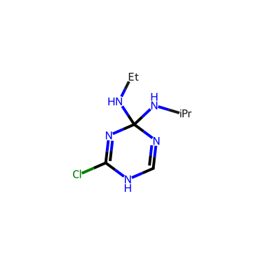 CCNC1(NC(C)C)N=CNC(Cl)=N1